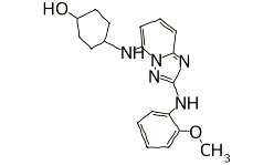 COc1ccccc1Nc1nc2cccc(NC3CCC(O)CC3)n2n1